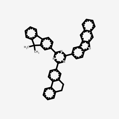 CC1(C)c2ccccc2-c2ccc(-c3nc(-c4ccc5c(c4)CCc4ccccc4-5)nc(-c4ccc5oc6cc7ccccc7cc6c5c4)n3)cc21